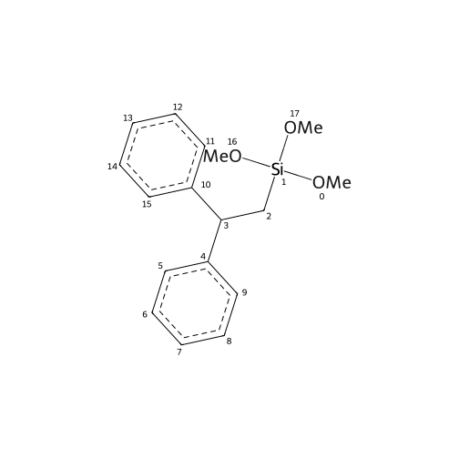 CO[Si](CC(c1ccccc1)c1ccccc1)(OC)OC